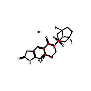 Cl.NC1CCN(S(=O)(=O)N2[C@@H]3CC[C@H]2CC(NC(=O)c2cc4c(cc2Cl)NC(=O)C4)C3)CC1